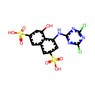 O=S(=O)(O)c1cc(O)c2c(Nc3nc(Cl)nc(Cl)n3)cc(S(=O)(=O)O)cc2c1